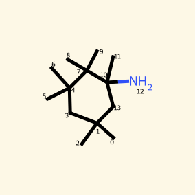 CC1(C)CC(C)(C)C(C)(C)C(C)(N)C1